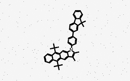 Cc1c(C)n(-c2ccc(-c3ccc4c(c3)C(C)(C)c3ccccc3-4)cc2)c2cc3c(C(C)(C)C)c4ccccc4c(C(C)(C)C)c3cc12